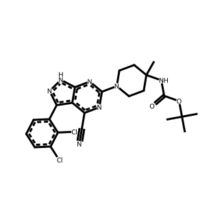 CC1(NC(=O)OC(C)(C)C)CCN(c2nc(C#N)c3c(-c4cccc(Cl)c4Cl)n[nH]c3n2)CC1